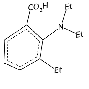 CCc1cccc(C(=O)O)c1N(CC)CC